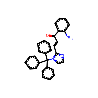 Nc1ccccc1C(=O)/C=C/c1nccn1C(c1ccccc1)(c1ccccc1)c1ccccc1